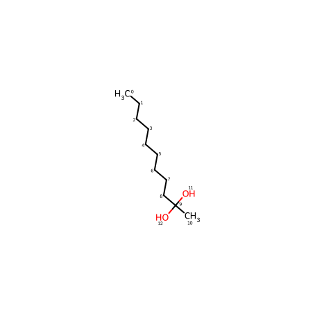 CCCCCCCCCC(C)(O)O